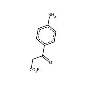 CCOC(=O)CC(=O)c1ccc(N)cc1